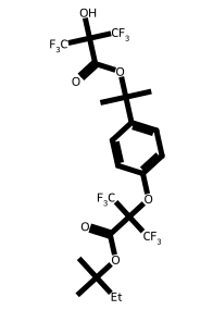 CCC(C)(C)OC(=O)C(Oc1ccc(C(C)(C)OC(=O)C(O)(C(F)(F)F)C(F)(F)F)cc1)(C(F)(F)F)C(F)(F)F